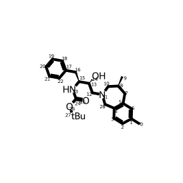 Cc1ccc2c(c1)C[C@H](C)CN(C[C@@H](O)[C@H](Cc1ccccc1)NC(=O)OC(C)(C)C)C2